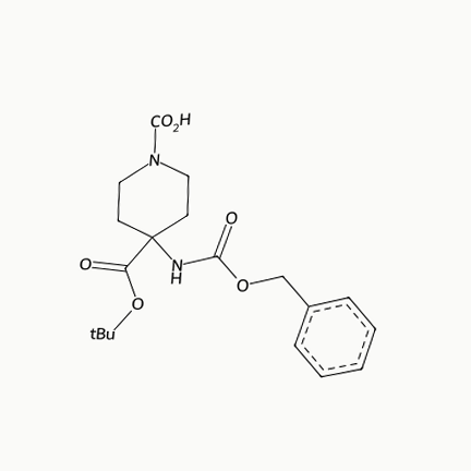 CC(C)(C)OC(=O)C1(NC(=O)OCc2ccccc2)CCN(C(=O)O)CC1